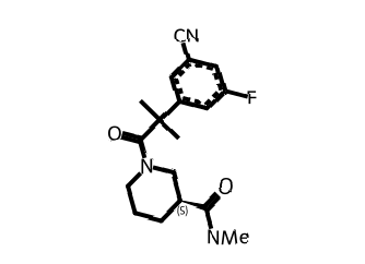 CNC(=O)[C@H]1CCCN(C(=O)C(C)(C)c2cc(F)cc(C#N)c2)C1